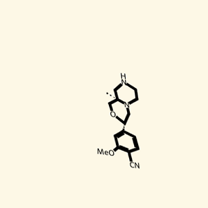 COc1cc([C@H]2CN3CCNC[C@]3(C)CO2)ccc1C#N